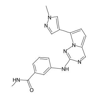 CNC(=O)c1cccc(Nc2ncc3ccc(-c4cnn(C)c4)n3n2)c1